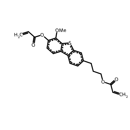 C=CC(=O)OCCCc1ccc2c(c1)sc1c(OC)c(OC(=O)C=C)ccc12